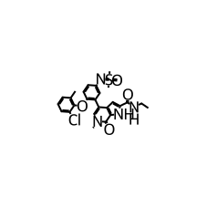 CCNC(=O)c1cc2c(-c3cc(N=S(C)(C)=O)ccc3Oc3c(C)cccc3Cl)cn(C)c(=O)c2[nH]1